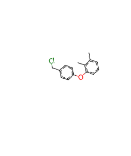 Cc1cccc(Oc2ccc(CCl)cc2)c1C